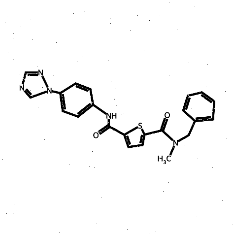 CN(Cc1ccccc1)C(=O)c1ccc(C(=O)Nc2ccc(-n3cncn3)cc2)s1